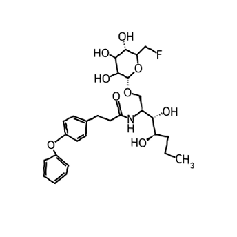 CCC[C@@H](O)[C@@H](O)[C@H](CO[C@H]1OC(CF)[C@@H](O)C(O)C1O)NC(=O)CCc1ccc(Oc2ccccc2)cc1